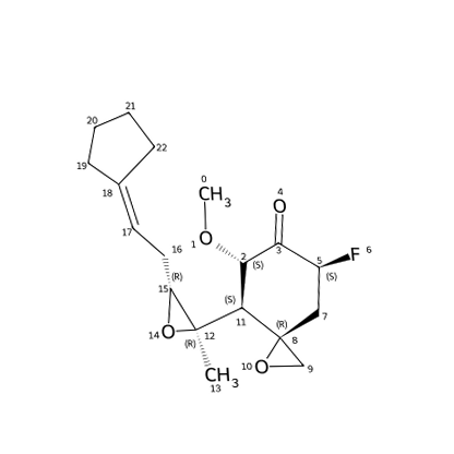 CO[C@@H]1C(=O)[C@@H](F)C[C@]2(CO2)[C@H]1[C@@]1(C)O[C@@H]1CC=C1CCCC1